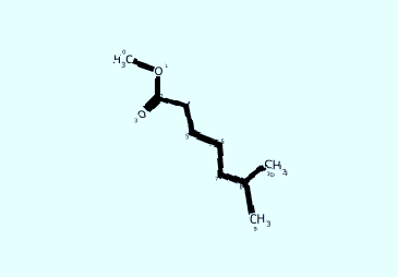 COC(=O)CCCCC(C)C